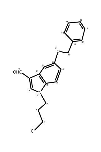 O=Cc1cn(CCCCl)c2ccc(OCc3ccccc3)cc12